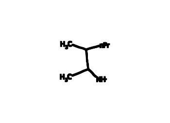 CCCC(C)C(C)[NH]